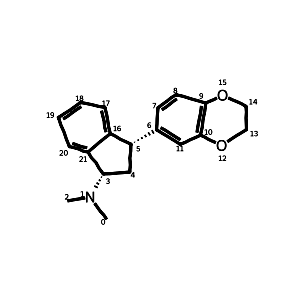 CN(C)[C@H]1C[C@@H](c2ccc3c(c2)OCCO3)c2ccccc21